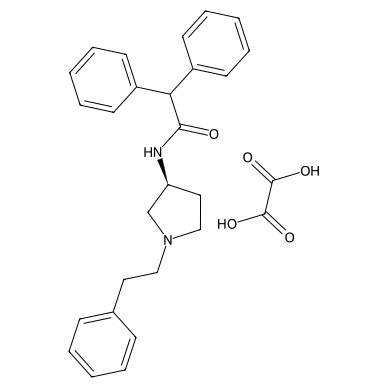 O=C(N[C@H]1CCN(CCc2ccccc2)C1)C(c1ccccc1)c1ccccc1.O=C(O)C(=O)O